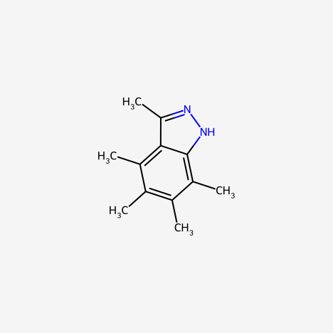 Cc1c(C)c(C)c2c(C)n[nH]c2c1C